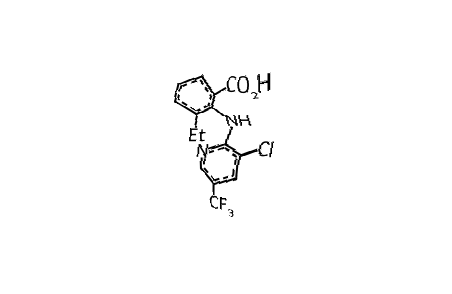 CCc1cccc(C(=O)O)c1Nc1ncc(C(F)(F)F)cc1Cl